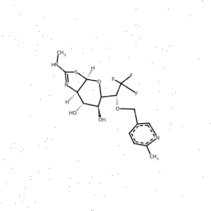 CNC1=N[C@@H]2[C@@H](O)[C@H](O)C([C@@H](OCc3ccc(C)nc3)C(F)(F)F)O[C@@H]2S1